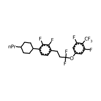 CCCC1CCC(c2ccc(CCC(F)(F)Oc3cc(F)c(C(F)(F)F)c(F)c3)c(F)c2F)CC1